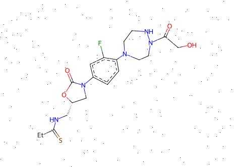 CCC(=S)NC[C@H]1CN(c2ccc(N3CCNN(C(=O)CO)CC3)c(F)c2)C(=O)O1